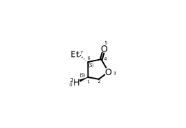 [2H][C@@H]1COC(=O)[C@H]1CC